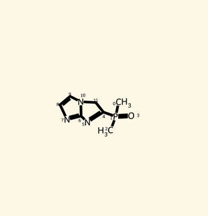 CP(C)(=O)C1=Nc2nccn2C1